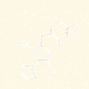 CCc1cn(Cc2ccc(F)cc2F)c(C(=O)O)c1-c1nccs1